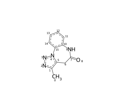 Cc1nnn2c1CC(=O)Nc1ccccc1-2